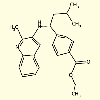 CCOC(=O)c1ccc(C(CC(C)C)Nc2cc3ccccc3nc2C)cc1